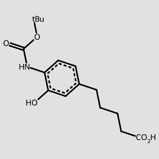 CC(C)(C)OC(=O)Nc1ccc(CCCCC(=O)O)cc1O